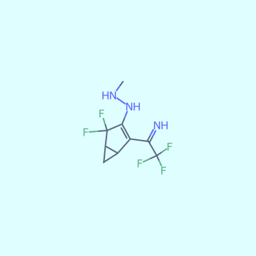 CNNC1=C(C(=N)C(F)(F)F)C2CC2C1(F)F